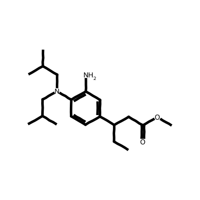 CCC(CC(=O)OC)c1ccc(N(CC(C)C)CC(C)C)c(N)c1